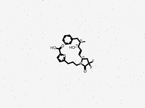 C[C@H](Cc1ccccc1)[C@@H](O)C=C[C@H]1CC(F)(F)C(=O)N1CCCc1ccc(C(=O)O)s1